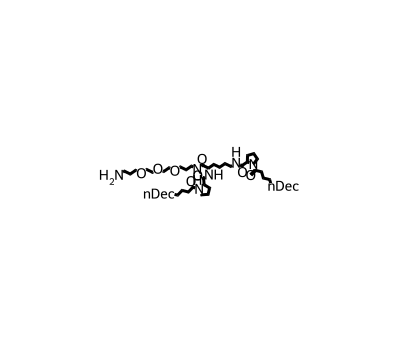 CCCCCCCCCCCCCC(=O)N1CCCC1C(=O)NCCCCC(NC(=O)C1CCCN1C(=O)CCCCCCCCCCCCC)C(=O)NCCCOCCOCCOCCCN